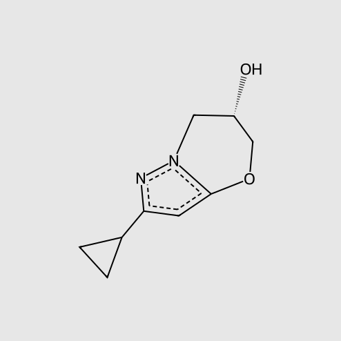 O[C@@H]1COc2cc(C3CC3)nn2C1